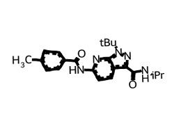 Cc1ccc(C(=O)Nc2ccc3c(C(=O)NC(C)C)nn(C(C)(C)C)c3n2)cc1